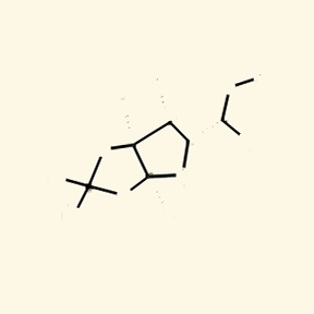 CC(=O)SC(C)[C@@H]1O[C@H]2OC(C)(C)O[C@H]2[C@@H]1C